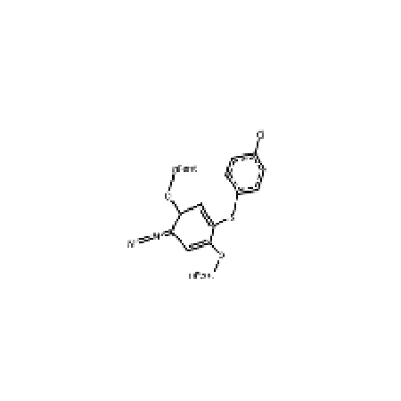 CCCCCOC1=CC(=[N+]=[N-])C(OCCCCC)C=C1Sc1ccc(Cl)cc1